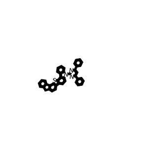 c1ccc(-c2cc(-c3ccccc3)nc(-n3c4ccccc4c4c5sc6c7c(ccc6c5ccc43)Cc3ccccc3-7)n2)cc1